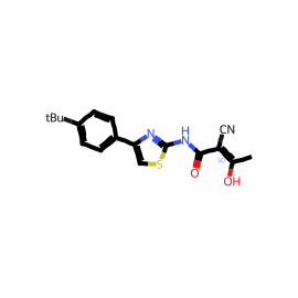 C/C(O)=C(\C#N)C(=O)Nc1nc(-c2ccc(C(C)(C)C)cc2)cs1